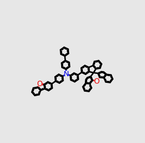 c1ccc(-c2ccc(N(c3ccc(-c4ccc5c(c4)oc4ccccc45)cc3)c3cccc(-c4ccc5c(c4)C4(c6ccccc6-5)c5ccc6ccccc6c5Oc5c4ccc4ccccc54)c3)cc2)cc1